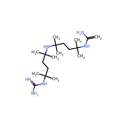 C=C(N)NC(C)(C)CCC(C)(C)NC(C)(C)CCC(C)(C)NC(=N)N